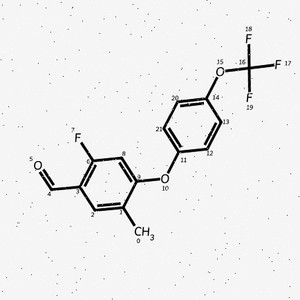 Cc1cc(C=O)c(F)cc1Oc1ccc(OC(F)(F)F)cc1